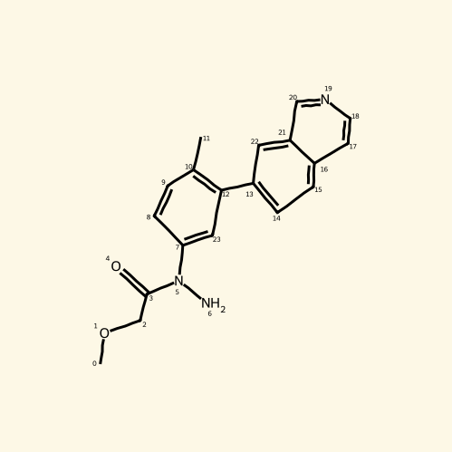 COCC(=O)N(N)c1ccc(C)c(-c2ccc3ccncc3c2)c1